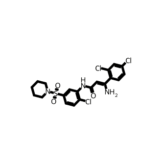 N/C(=C\C(=O)Nc1cc(S(=O)(=O)N2CCCCC2)ccc1Cl)c1ccc(Cl)cc1Cl